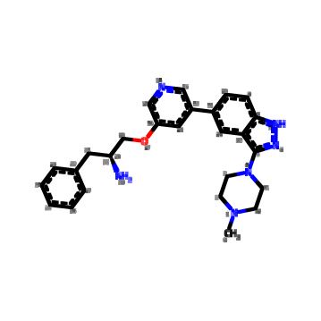 CN1CCN(c2n[nH]c3ccc(-c4cncc(OC[C@@H](N)Cc5ccccc5)c4)cc23)CC1